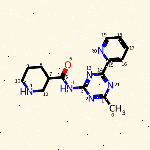 Cc1nc(NC(=O)C2CCCNC2)nc(-c2ccccn2)n1